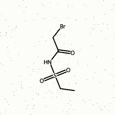 CCS(=O)(=O)NC(=O)CBr